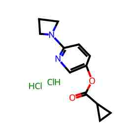 Cl.Cl.O=C(Oc1ccc(N2CCC2)nc1)C1CC1